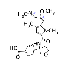 C/N=C/C(=C\c1c(C)cc(C(=O)NC2(c3ccc(C(=O)O)cc3)CCOC2)n1C)OC